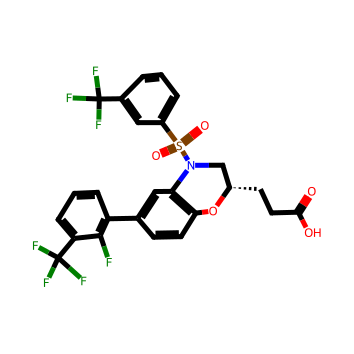 O=C(O)CC[C@H]1CN(S(=O)(=O)c2cccc(C(F)(F)F)c2)c2cc(-c3cccc(C(F)(F)F)c3F)ccc2O1